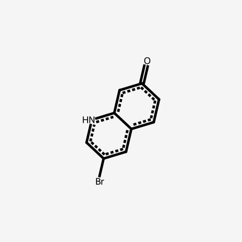 O=c1ccc2cc(Br)c[nH]c-2c1